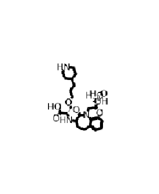 O.O.O=C(O)CN1C(=O)C(N[C@@H](COCCCC2CCNCC2)C(=O)O)CCc2ccccc21